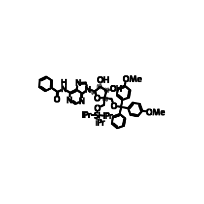 COc1ccc(C(OC[C@@]2(CO[Si](C(C)C)(C(C)C)C(C)C)O[C@@H](n3cnc4c(NC(=O)c5ccccc5)ncnc43)[C@H](O)[C@@H]2O)(c2ccccc2)c2ccc(OC)cc2)cc1